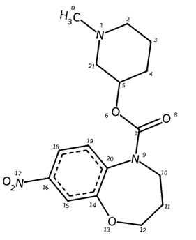 CN1CCCC(OC(=O)N2CCCOc3cc([N+](=O)[O-])ccc32)C1